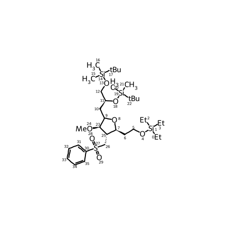 CC[Si](CC)(CC)OCC[C@@H]1OC(C[C@@H](CO[Si](C)(C)C(C)(C)C)O[Si](C)(C)C(C)(C)C)[C@H](OC)[C@H]1CS(=O)(=O)c1ccccc1